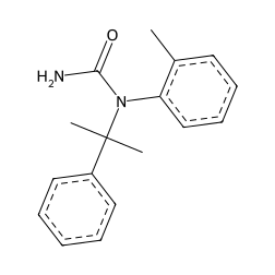 Cc1ccccc1N(C(N)=O)C(C)(C)c1ccccc1